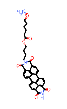 NOCCCCCC(=O)OCCCCN1C(=O)c2ccc3c4ccc5c6c(ccc(c7ccc(c2c37)C1=O)c64)C(=O)NC5=O